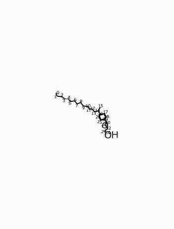 CCCCCCCCCCCCCCC(C)c1ccc(COCCO)cc1